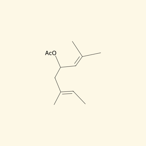 CC=C(C)CC(C=C(C)C)OC(C)=O